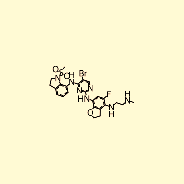 CNCCNc1c(F)cc(Nc2ncc(Br)c(Nc3cccc4c3N(S(C)(=O)=O)CC4)n2)c2c1CCO2